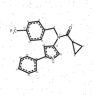 O=C(C1CC1)N(Cc1ccc(C(F)(F)F)cc1)c1csc(-c2ccccc2)c1